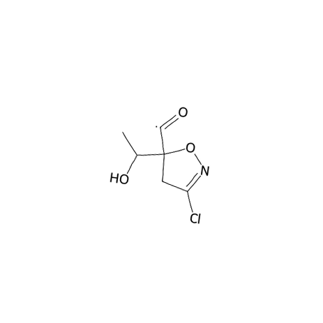 CC(O)C1([C]=O)CC(Cl)=NO1